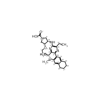 CCO[C@H]1CN(C(=O)O)C[C@H]1Nc1nc(CC)c(-c2cc3c(cc2OC)CCCC3)nc1CC